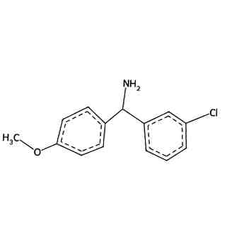 COc1ccc(C(N)c2cccc(Cl)c2)cc1